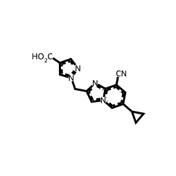 N#Cc1cc(C2CC2)cn2cc(Cn3cc(C(=O)O)cn3)nc12